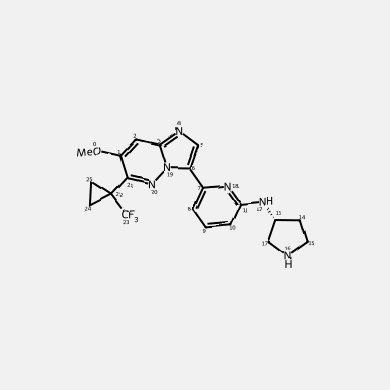 COc1cc2ncc(-c3cccc(N[C@@H]4CCNC4)n3)n2nc1C1(C(F)(F)F)CC1